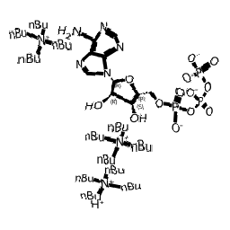 CCCC[N+](CCCC)(CCCC)CCCC.CCCC[N+](CCCC)(CCCC)CCCC.CCCC[N+](CCCC)(CCCC)CCCC.Nc1ncnc2c1ncn2[C@@H]1O[C@H](COP(=O)([O-])OP(=O)([O-])OP(=O)([O-])[O-])[C@@H](O)[C@H]1O.[H+]